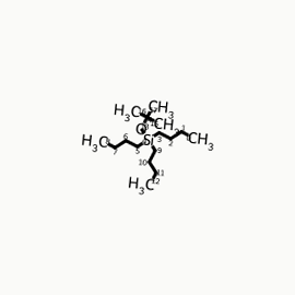 CCCC[Si](CCCC)(CCCC)OC(C)(C)C